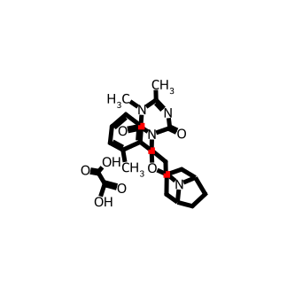 Cc1ccccc1COC1CC2CCC(C1)N2CCCn1c(=O)nc(C)n(C)c1=O.O=C(O)C(=O)O